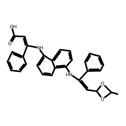 CC1OC(/C=C(/Nc2cccc3c(N/C(=C/C(=O)O)c4ccccc4)cccc23)c2ccccc2)O1